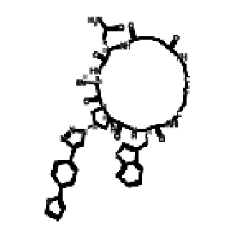 CC[C@H](C)[C@@H]1NC(=O)[C@H](CC(N)=O)NC(=O)CCC(=O)NCCCCCNC(=O)[C@H](Cc2csc3ccccc23)NC(=O)[C@@H]2C[C@H](n3cc(-c4ccc(-c5cccs5)cc4)nn3)CN2C1=O